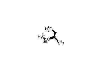 CCC.CCC(C)=O